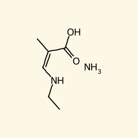 CCNC=C(C)C(=O)O.N